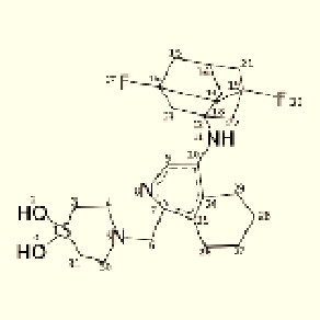 OS1(O)CCN(Cc2ncc(NC34CC5CC(F)(CC(F)(C5)C3)C4)c3c2CCCC3)CC1